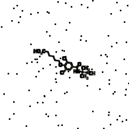 C#CC(C)(C)NC(=O)c1cc(Cl)c(OCCCCCC(=O)O)c(Cl)c1